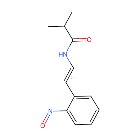 CC(C)C(=O)N/C=C/c1ccccc1N=O